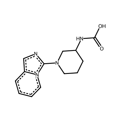 O=C(O)NC1CCCN(c2ncc3ccccn23)C1